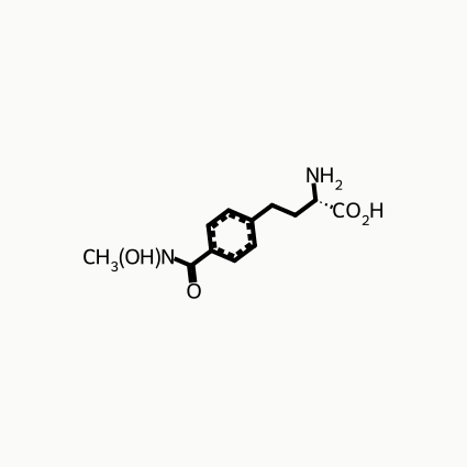 CN(O)C(=O)c1ccc(CC[C@H](N)C(=O)O)cc1